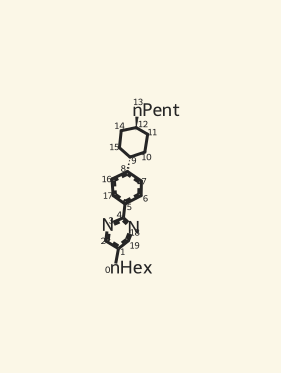 CCCCCCc1cnc(-c2ccc([C@H]3CC[C@H](CCCCC)CC3)cc2)nc1